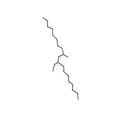 CCCCCCCCC(C)CC(CC)CCCCCCCC